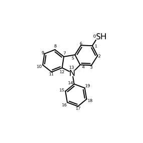 Sc1ccc2c(c1)c1ccccc1n2-c1ccccc1